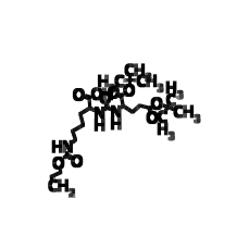 C=CCOC(=O)NCCCCC(NC(=O)NC(CCC(=O)OC(C)(C)C)C(=O)OC(C)(C)C)C(=O)O